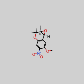 COc1cc2c(cc1[N+](=O)[O-])OC(C)(C)[C@H]1O[C@@H]21